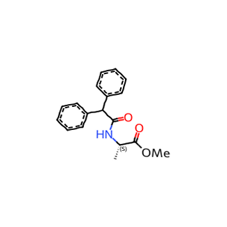 COC(=O)[C@H](C)NC(=O)C(c1ccccc1)c1ccccc1